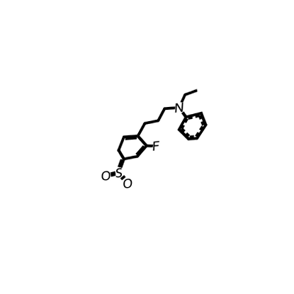 CCN(CCCC1=CCC(=S(=O)=O)C=C1F)c1ccccc1